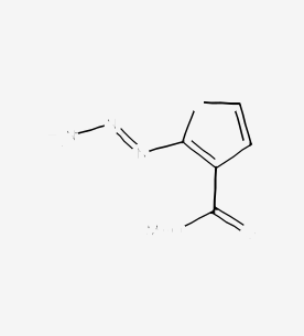 COC(=O)c1ccsc1N=NN